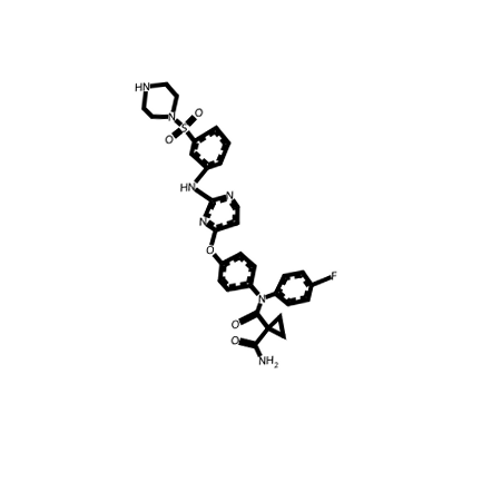 NC(=O)C1(C(=O)N(c2ccc(F)cc2)c2ccc(Oc3ccnc(Nc4cccc(S(=O)(=O)N5CCNCC5)c4)n3)cc2)CC1